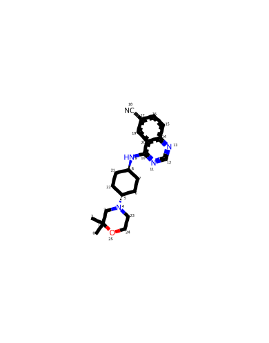 CC1(C)CN([C@H]2CC[C@H](Nc3ncnc4ccc(C#N)cc34)CC2)CCO1